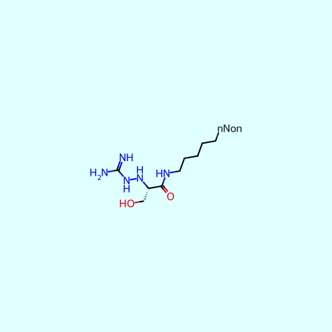 CCCCCCCCCCCCCCNC(=O)[C@H](CO)NNC(=N)N